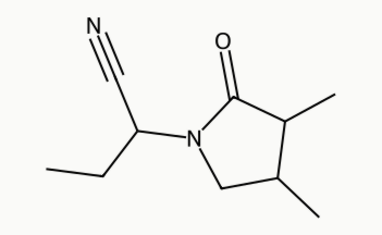 CCC(C#N)N1CC(C)C(C)C1=O